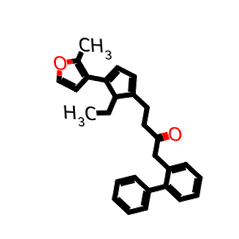 CCC1C(CCC(=O)Cc2ccccc2-c2ccccc2)=CC=C1c1ccoc1C